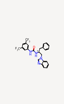 O=C(Nc1cc(C(F)(F)F)cc(C(F)(F)F)c1)N[C@@H](Cc1ccccc1)Cn1cnc2ccccc21